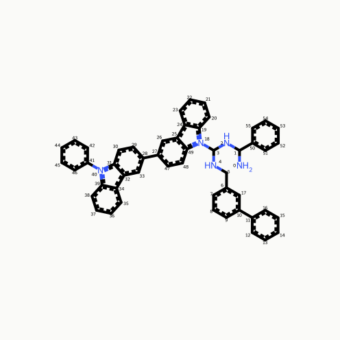 NC(NC(NCc1cccc(-c2ccccc2)c1)n1c2ccccc2c2cc(-c3ccc4c(c3)c3ccccc3n4-c3ccccc3)ccc21)c1ccccc1